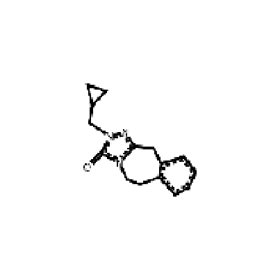 O=c1n(CC2CC2)nc2n1CCc1ccccc1C2